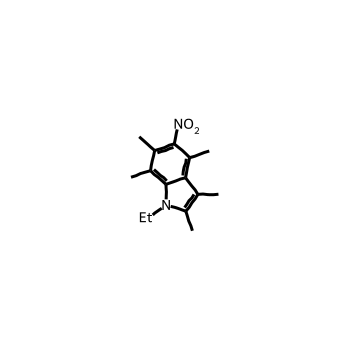 CCn1c(C)c(C)c2c(C)c([N+](=O)[O-])c(C)c(C)c21